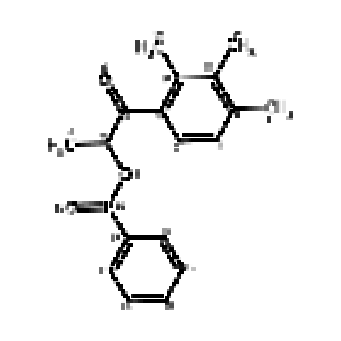 Cc1ccc(C(=O)C(C)O[P](=O)c2ccccc2)c(C)c1C